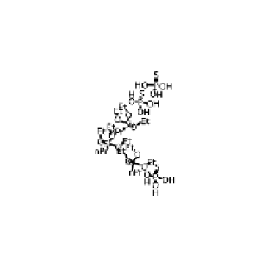 CCC[Si](OCC)(OCC)OCC.CCC[Si](OCC)(OCC)OCC.CCC[Si](OCC)(OCC)OCC.OP(O)(O)=S.OP(O)(O)=S.OP(O)(O)=S